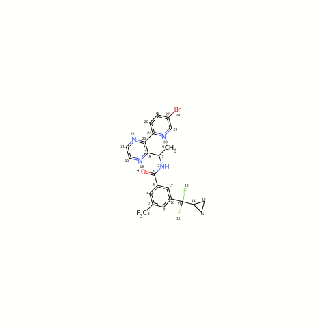 CC(NC(=O)c1cc(C(F)(F)F)cc(C(F)(F)C2CC2)c1)c1nccnc1-c1ccc(Br)cn1